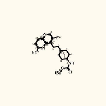 CC(C)(C)OC(=O)NC12CCC(CCc3c(F)cnc4ccc(C#N)nc34)(CC1)OC2